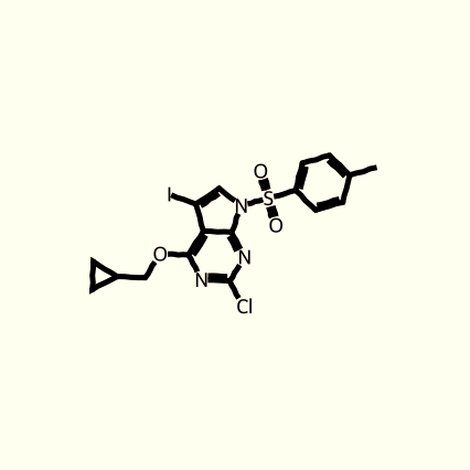 Cc1ccc(S(=O)(=O)n2cc(I)c3c(OCC4CC4)nc(Cl)nc32)cc1